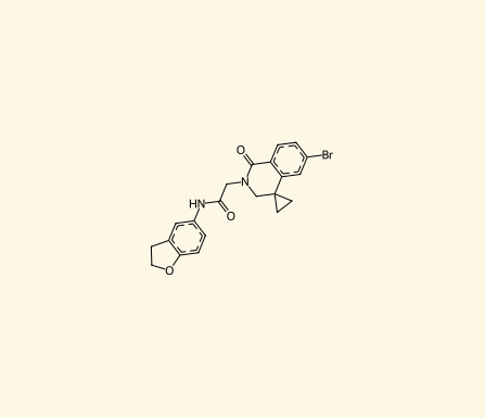 O=C(CN1CC2(CC2)c2cc(Br)ccc2C1=O)Nc1ccc2c(c1)CCO2